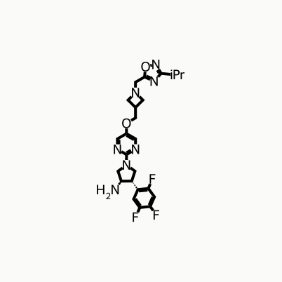 CC(C)c1noc(CN2CC(COc3cnc(N4C[C@H](c5cc(F)c(F)cc5F)[C@@H](N)C4)nc3)C2)n1